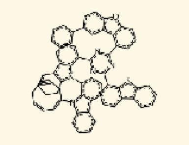 C1#CC/C(n2c3ccccc3c3cccc(-n4c5c(c6cccc(-c7nc(-c8cccc9c8sc8ccccc89)nc(-c8cccc9oc%10ccc(-c%11ccccc%11)cc%10c89)n7)c64)C=CCC5)c32)=C\C=C/C1